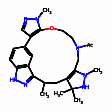 CC(=O)N1CCOc2c(cnn2C)-c2ccc3[nH]nc(c3c2)C(C)CC2=C(C1)N(C)NC2(C)C